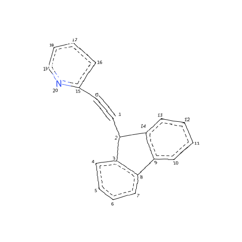 C(#CC1c2ccccc2-c2ccccc21)c1ccccn1